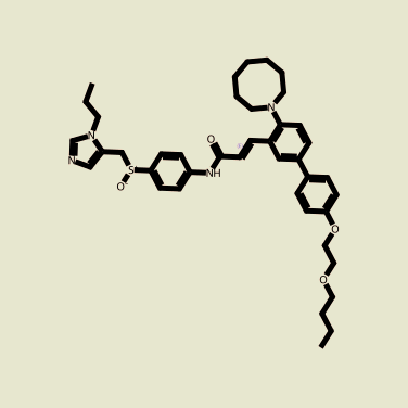 CCCCOCCOc1ccc(-c2ccc(N3CCCCCCC3)c(/C=C/C(=O)Nc3ccc([S+]([O-])Cc4cncn4CCC)cc3)c2)cc1